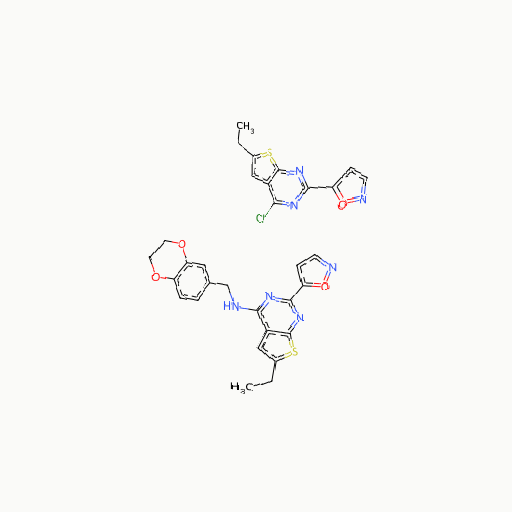 CCc1cc2c(Cl)nc(-c3ccno3)nc2s1.CCc1cc2c(NCc3ccc4c(c3)OCCO4)nc(-c3ccno3)nc2s1